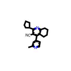 Cc1cc(-c2c(C#N)c(C3CCCC3)nc3c2CCCC3)ccn1